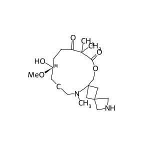 CO[C@]1(O)CCCN(C)C2(COC(=O)C(C)(C)C(=O)CC1)CC1(CNC1)C2